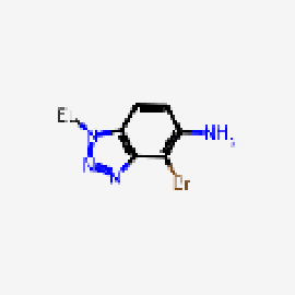 CCn1nnc2c(Br)c(N)ccc21